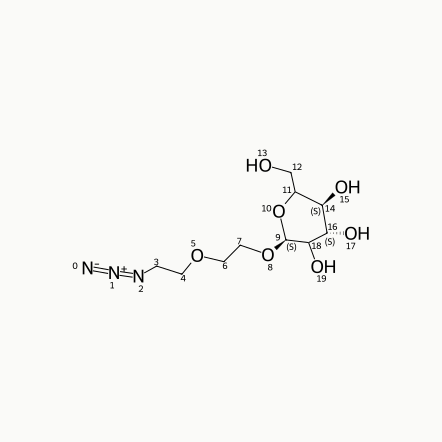 [N-]=[N+]=NCCOCCO[C@H]1OC(CO)[C@@H](O)[C@H](O)C1O